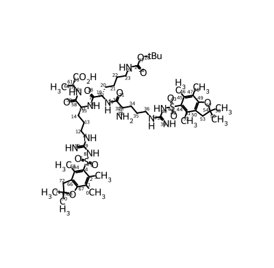 Cc1c(C)c(S(=O)(=O)NC(=N)NCCC[C@H](NC(=O)[C@H](CCCCNC(=O)OC(C)(C)C)NC(=O)[C@@H](N)CCCNC(=N)NS(=O)(=O)c2c(C)c(C)c3c(c2C)CC(C)(C)O3)C(=O)N[C@@H](C)C(=O)O)c(C)c2c1OC(C)(C)C2